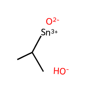 C[CH](C)[Sn+3].[O-2].[OH-]